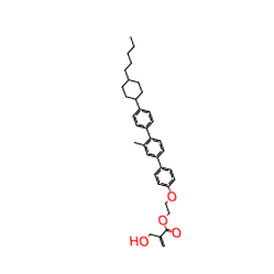 C=C(CO)C(=O)OCCOc1ccc(-c2ccc(-c3ccc(C4CCC(CCCCC)CC4)cc3)c(C)c2)cc1